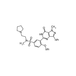 CCCOc1ccc(S(=O)(=O)N(C)CCN2CCCC2)cc1-c1nc2c(CCC)nn(C)c2c(=O)[nH]1